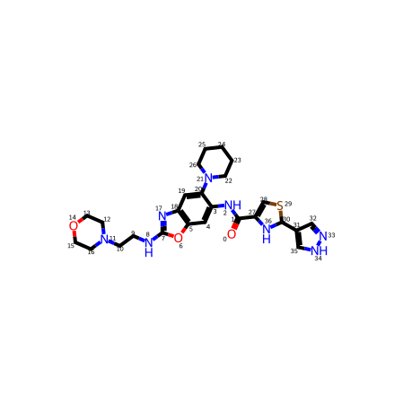 O=C(Nc1cc2oc(NCCN3CCOCC3)nc2cc1N1CCCCC1)C1=CSC(c2cn[nH]c2)N1